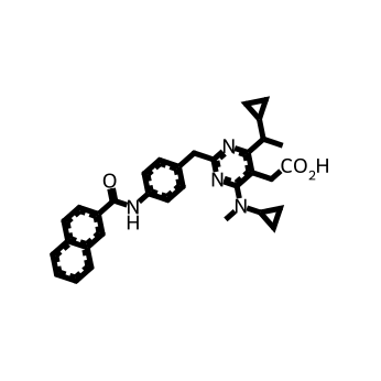 CC(c1nc(Cc2ccc(NC(=O)c3ccc4ccccc4c3)cc2)nc(N(C)C2CC2)c1CC(=O)O)C1CC1